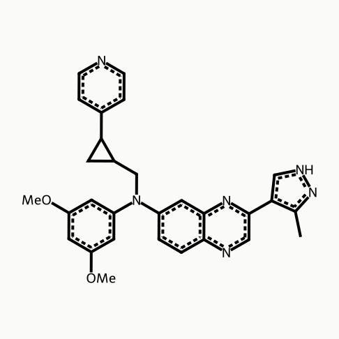 COc1cc(OC)cc(N(CC2CC2c2ccncc2)c2ccc3ncc(-c4c[nH]nc4C)nc3c2)c1